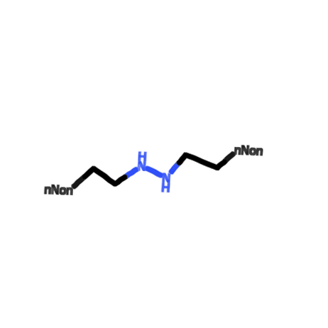 CCCCCCCCCCCNNCCCCCCCCCCC